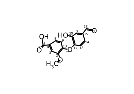 COc1cc(C(=O)O)ccc1Oc1ccc(C=O)cc1O